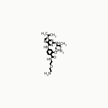 CC(C)[C@H](CO)Nc1nc(Nc2ccc(C(=O)NCCOCCN)c(Cl)c2)c2ncn(C(C)C)c2n1